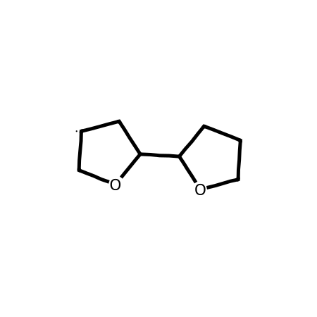 [CH]1COC(C2CCCO2)C1